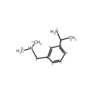 CC(N)c1cccc(CN(C)C)c1